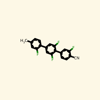 Cc1ccc(-c2cc(F)c(-c3ccc(C#N)c(F)c3)c(F)c2)c(F)c1